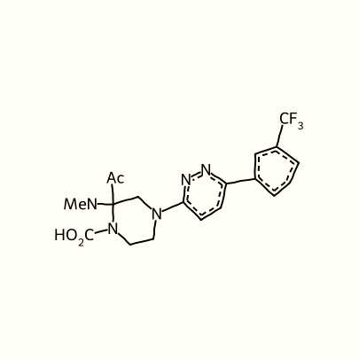 CNC1(C(C)=O)CN(c2ccc(-c3cccc(C(F)(F)F)c3)nn2)CCN1C(=O)O